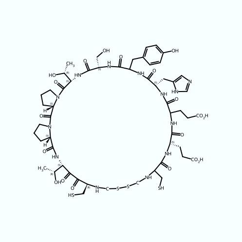 C[C@@H](O)[C@@H]1NC(=O)[C@@H]2CCCN2C(=O)[C@@H]2CCCN2C(=O)[C@H]([C@@H](C)O)NC(=O)[C@H](CO)NC(=O)C(Cc2ccc(O)cc2)NC(=O)[C@H](Cc2cnc[nH]2)NC(=O)C(CCC(=O)O)NC(=O)[C@H](CCC(=O)O)NC(=O)C(CS)NCSSCN[C@@H](CS)C(=O)C1=O